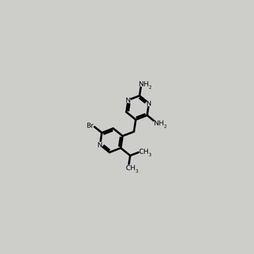 CC(C)c1cnc(Br)cc1Cc1cnc(N)nc1N